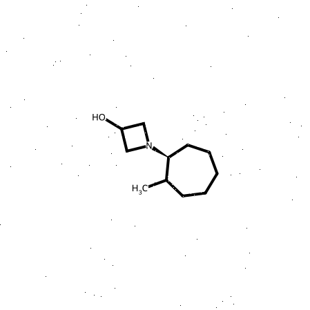 CC1CCCCC[C@@H]1N1CC(O)C1